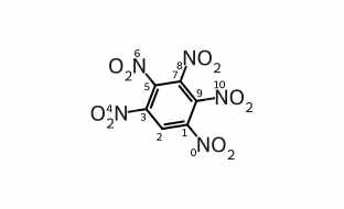 O=[N+]([O-])c1cc([N+](=O)[O-])c([N+](=O)[O-])c([N+](=O)[O-])c1[N+](=O)[O-]